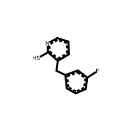 Fc1cccc(Cc2cccnc2S)c1